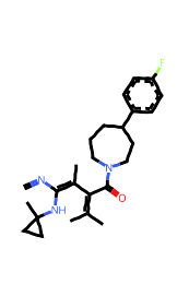 C=N/C(NC1(C)CC1)=C(\C)C(C(=O)N1CCCC(c2ccc(F)cc2)CC1)=C(C)C